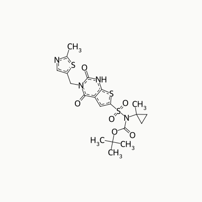 Cc1ncc(Cn2c(=O)[nH]c3sc(S(=O)(=O)N(C(=O)OC(C)(C)C)C4(C)CC4)cc3c2=O)s1